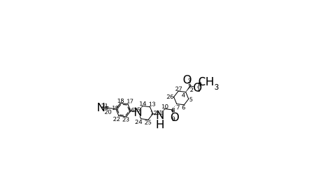 COC(=O)[C@H]1CC[C@H](C(=O)CNC2CCN(c3ccc(C#N)cc3)CC2)CC1